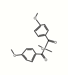 COc1ccc([C](=O)[Ge]([CH3])([CH3])[C](=O)c2ccc(OC)cc2)cc1